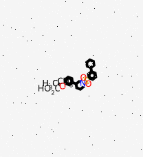 CC(C)(Oc1cccc(C2CCCN(S(=O)(=O)c3cccc(C4CCCCC4)c3)C2)c1)C(=O)O